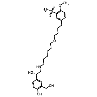 COc1ccc(CCCCOCCCCCCNC[C@@H](O)c2ccc(O)c(CO)c2)cc1S(N)(=O)=O